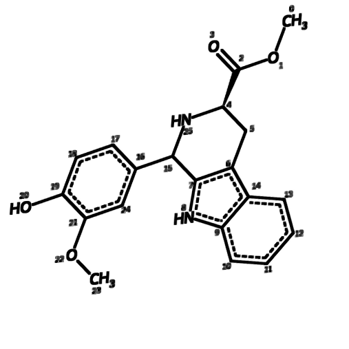 COC(=O)[C@H]1Cc2c([nH]c3ccccc23)C(c2ccc(O)c(OC)c2)N1